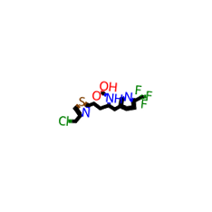 O=C(O)NC(CCc1nc(CCl)cs1)Cc1ccc(C(F)(F)F)nc1